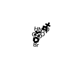 C=C(C(=O)Nc1cc(C(C)(C)C)on1)S(=O)(=O)c1ccc(Br)cc1